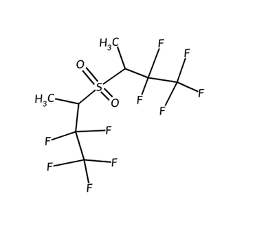 CC(C(F)(F)C(F)(F)F)S(=O)(=O)C(C)C(F)(F)C(F)(F)F